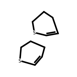 C1=CSCCC1.C1=CSCCC1